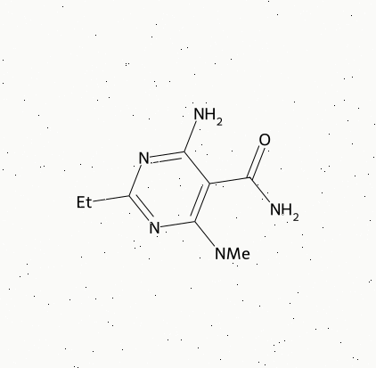 CCc1nc(N)c(C(N)=O)c(NC)n1